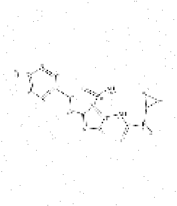 CN(C(=O)Nc1snc(SCc2ccc(Cl)cc2)c1C(N)=O)C1CC1